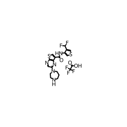 O=C(Nc1cscc1C(F)F)c1csc2ncc(N3CCCNCC3)nc12.O=C(O)C(F)(F)F